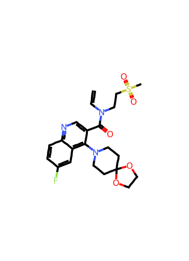 C=CN(CCS(C)(=O)=O)C(=O)c1cnc2ccc(F)cc2c1N1CCC2(CC1)OCCO2